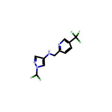 FC(F)n1cc(NCc2ccc(C(F)(F)F)cn2)cn1